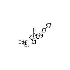 CCN(CC)CCc1ccc(NC(=O)CC(=O)c2ccc(-c3ccccc3)cc2)cc1Cl